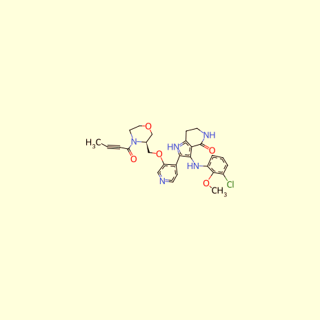 CC#CC(=O)N1CCOC[C@H]1COc1cnccc1-c1[nH]c2c(c1Nc1cccc(Cl)c1OC)C(=O)NCC2